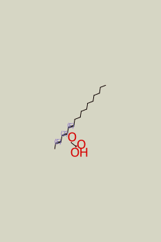 C/C=C/C=C(/C=C/CCCCCCCCCC)OCC(=O)O